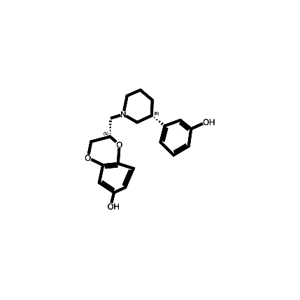 Oc1cccc([C@H]2CCCN(C[C@H]3COc4cc(O)ccc4O3)C2)c1